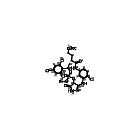 CCCCCCCCCCCCCC(=O)Nc1ccc(Cl)c(NC2=NNC(=O)C2OP(=O)(OCC)OC(C)c2c(Cl)cc(Cl)cc2Cl)c1